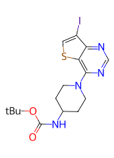 CC(C)(C)OC(=O)NC1CCN(c2ncnc3c(I)csc23)CC1